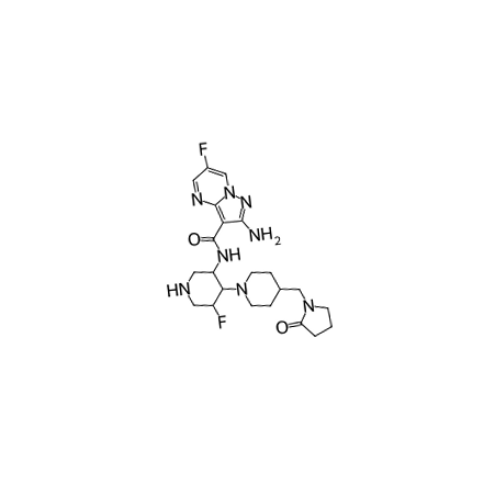 Nc1nn2cc(F)cnc2c1C(=O)NC1CNCC(F)C1N1CCC(CN2CCCC2=O)CC1